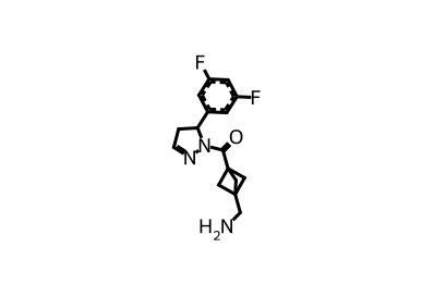 NCC12CC(C(=O)N3N=CCC3c3cc(F)cc(F)c3)(C1)C2